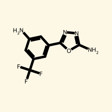 Nc1cc(-c2nnc(N)o2)cc(C(F)(F)F)c1